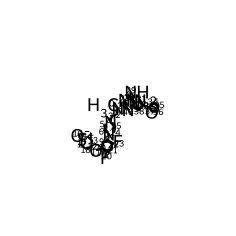 CN(CCN1CCN(c2cc(O[C@H]3CC[S@+]([O-])CC3)c(F)cc2F)CC1)c1nc(N)n2nc(-c3ccco3)cc2n1